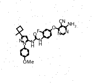 COc1ccc(-n2nc(C3(C)CCC3)cc2NC(=O)Nc2ccc(Oc3ncnc(N)c3C#N)cc2F)cc1